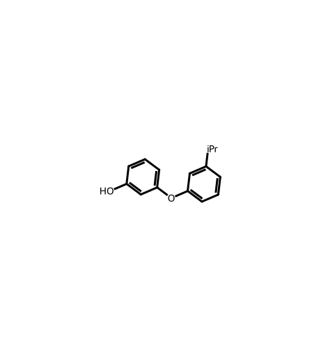 CC(C)c1cccc(Oc2cccc(O)c2)c1